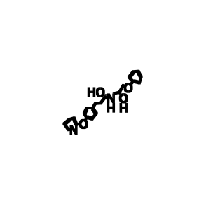 OC(CN[C@@H](O)CCc1ccc(Oc2ccccn2)cc1)COc1ccccc1